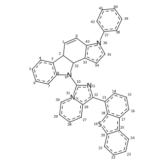 C1=CC2c3ccccc3N(c3nc(-c4cccc5c4sc4ccccc45)c4ccccn34)C2c2ccn(-c3ccccc3)c21